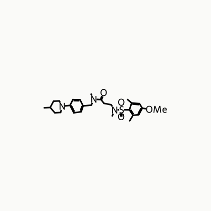 COc1cc(C)c(S(=O)(=O)N(C)CCC(=O)N(C)Cc2ccc(N3CCC(C)CC3)cc2)c(C)c1